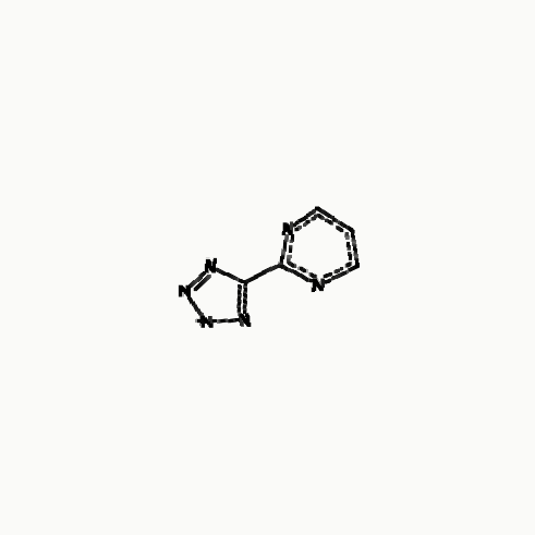 c1cnc(C2=N[N]N=N2)nc1